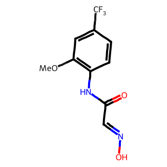 COc1cc(C(F)(F)F)ccc1NC(=O)/C=N/O